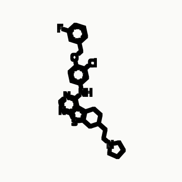 Fc1cccc(COc2ccc(Nc3ncnc4sc5c(c34)CCC(CCN3CCCC3)C5)cc2Cl)c1